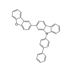 c1ccc(-c2ccc(-n3c4ccccc4c4ccc(-c5ccc6oc7ccccc7c6c5)cc43)cc2)cc1